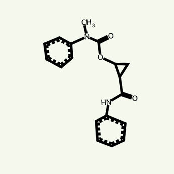 CN(C(=O)OC1CC1C(=O)Nc1ccccc1)c1ccccc1